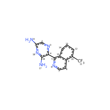 Nc1cnc(-c2nccc3c(C(F)(F)F)cccc23)c(N)n1